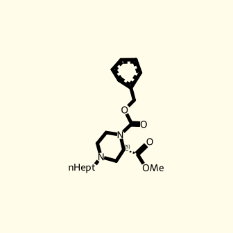 CCCCCCCN1CCN(C(=O)OCc2ccccc2)[C@H](C(=O)OC)C1